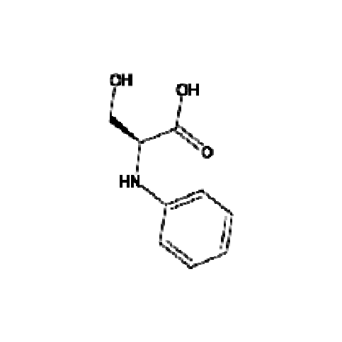 O=C(O)[C@H](CO)Nc1ccccc1